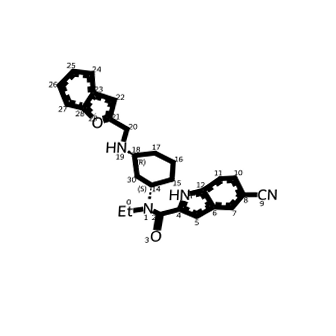 CCN(C(=O)c1cc2cc(C#N)ccc2[nH]1)[C@H]1CCC[C@@H](NCc2cc3ccccc3o2)C1